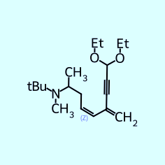 C=C(C#CC(OCC)OCC)/C=C\CC(C)N(C)C(C)(C)C